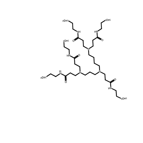 CCCCCCCCCCCCNC(=O)CCN(CCCCN(CCC(=O)NCCCCCCCCCCCC)CCC(=O)NCCCCCCCCCCCC)CCCN(CCC(=O)NCCCCCCCCCCCC)CCC(=O)NCCCCCCCCCCCC